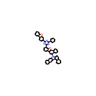 c1ccc(-c2nc(-c3ccc4c(c3)oc3ccccc34)nc(-c3cccc4c3oc3c5ccccc5c(-n5c6cc7ccccc7cc6c6c7ccccc7ccc65)cc43)n2)cc1